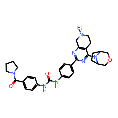 CCN1CCc2c(nc(-c3ccc(NC(=O)Nc4ccc(C(=O)N5CCCC5)cc4)cc3)nc2N2C3CCC2COC3)C1